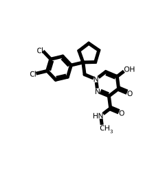 CNC(=O)c1nn(CC2(c3ccc(Cl)c(Cl)c3)CCCC2)cc(O)c1=O